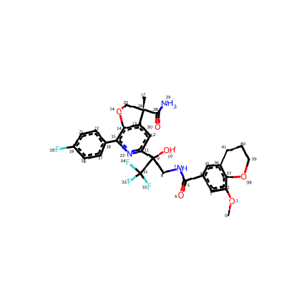 COc1cc(C(=O)NCC(O)(c2cc3c(c(-c4ccc(F)cc4)n2)OC[C@]3(C)C(N)=O)C(F)(F)F)cc2c1OCCC2